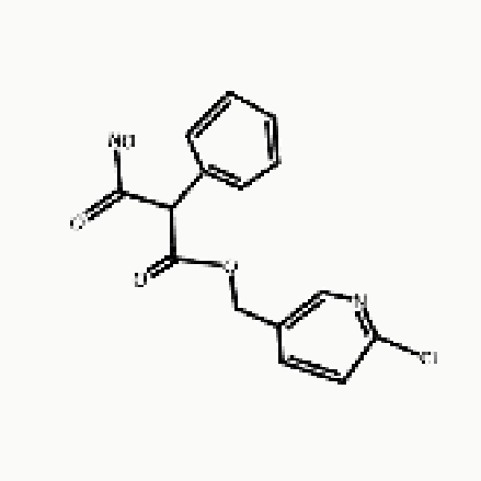 O=NC(=O)C(C(=O)OCc1ccc(Cl)nc1)c1ccccc1